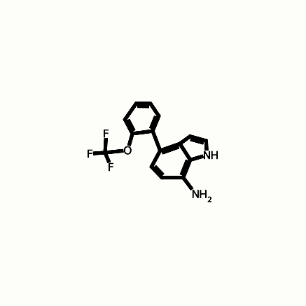 Nc1ccc(-c2ccccc2OC(F)(F)F)c2cc[nH]c12